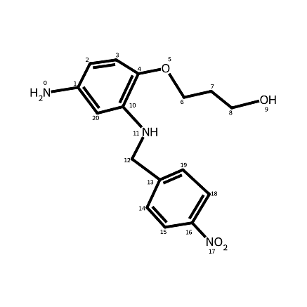 Nc1ccc(OCCCO)c(NCc2ccc([N+](=O)[O-])cc2)c1